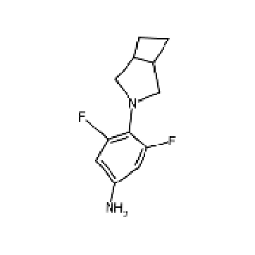 Nc1cc(F)c(N2CC3CCC3C2)c(F)c1